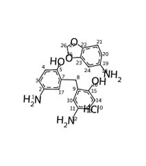 Cl.Nc1ccc(O)c(Cc2cc(N)ccc2O)c1.Nc1ccc2c(c1)OCO2